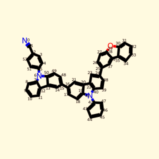 N#Cc1ccc(-n2c3ccccc3c3cc(-c4ccc5c(c4)c4cc(-c6ccc7oc8ccccc8c7c6)ccc4n5-c4ccccc4)ccc32)cc1